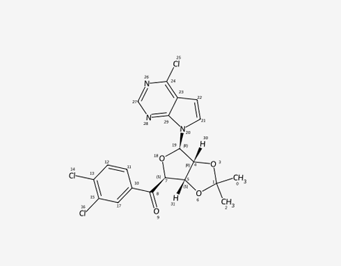 CC1(C)O[C@@H]2[C@H](O1)[C@@H](C(=O)c1ccc(Cl)c(Cl)c1)O[C@H]2n1ccc2c(Cl)ncnc21